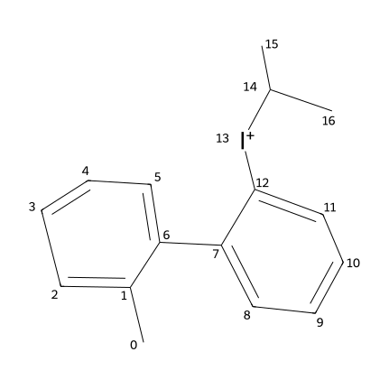 Cc1ccccc1-c1ccccc1[I+]C(C)C